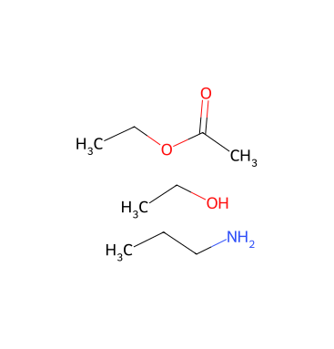 CCCN.CCO.CCOC(C)=O